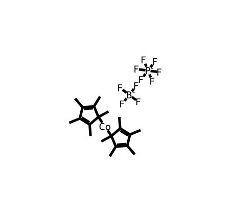 CC1=C(C)[C](C)([Co][C]2(C)C(C)=C(C)C(C)=C2C)C(C)=C1C.F[B-](F)(F)F.F[P-](F)(F)(F)(F)F